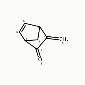 C=C1C(=O)C2C=CC1C2